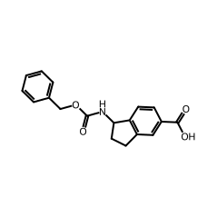 O=C(NC1CCc2cc(C(=O)O)ccc21)OCc1ccccc1